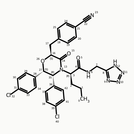 CCC[C@H](C(=O)NCc1nnn[nH]1)N1C(=O)[C@H](Cc2ccc(C#N)cc2)O[C@@H](c2ccc(Cl)cc2)[C@H]1c1ccc(Cl)cc1